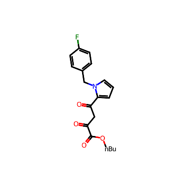 CCCCOC(=O)C(=O)CC(=O)c1cccn1Cc1ccc(F)cc1